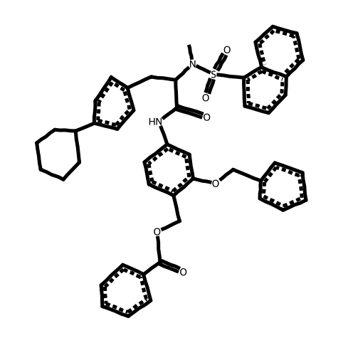 CN(C(Cc1ccc(C2CCCCC2)cc1)C(=O)Nc1ccc(COC(=O)c2ccccc2)c(OCc2ccccc2)c1)S(=O)(=O)c1cccc2ccccc12